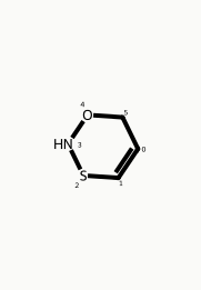 [C]1=CSNOC1